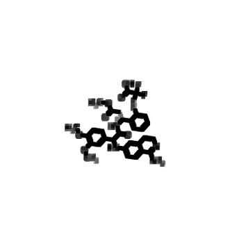 COC(=O)C[C@@H](NC(=O)C(Nc1ccc2c(N)nccc2c1)c1ccc(OC)c(OC)c1)c1ccccc1F.O=C(O)C(F)(F)F